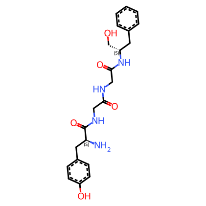 N[C@@H](Cc1ccc(O)cc1)C(=O)NCC(=O)NCC(=O)N[C@H](CO)Cc1ccccc1